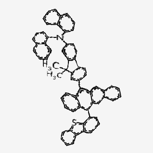 CC1(C)c2cc(-c3c4ccccc4c(-c4cccc5c4sc4ccccc45)c4cc5ccccc5cc34)ccc2-c2ccc(N(c3cccc4ccccc34)c3cccc4ccccc34)cc21